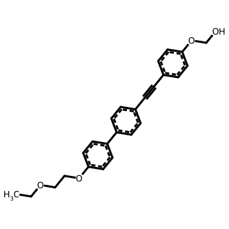 CCOCCOc1ccc(-c2ccc(C#Cc3ccc(OCO)cc3)cc2)cc1